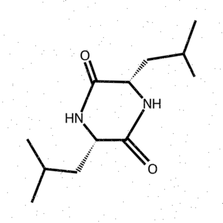 CC(C)C[C@@H]1NC(=O)[C@H](CC(C)C)NC1=O